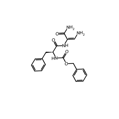 N/C=C(/NC(=O)[C@H](Cc1ccccc1)NC(=O)OCc1ccccc1)C(N)=O